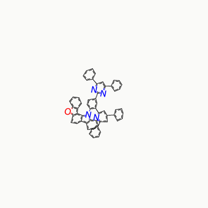 c1ccc(-c2cc(-c3ccccc3)nc(-c3cc(-c4nc(-c5ccccc5)cc(-c5ccccc5)n4)ccc3-n3c4ccccc4c4ccc5oc6ccccc6c5c43)c2)cc1